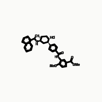 COC(=O)c1ccc(OC)c(NC(=O)c2ccc([C@H]3CCC[C@H](N[C@H](C)c4cccc5ccccc45)C3)cc2)c1.Cl